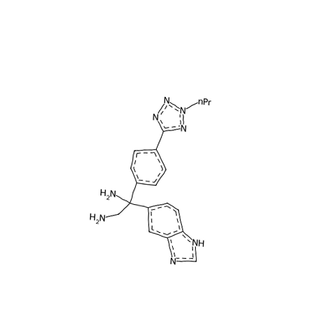 CCCn1nnc(-c2ccc(C(N)(CN)c3ccc4[nH]cnc4c3)cc2)n1